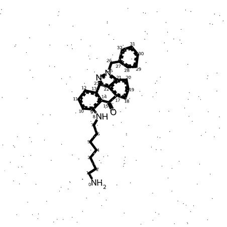 NCCCCCCCNc1cccc2c1C(=O)c1cccc3c1c-2nn3Cc1ccccc1